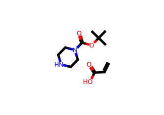 C=CC(=O)O.CC(C)(C)OC(=O)N1CCNCC1